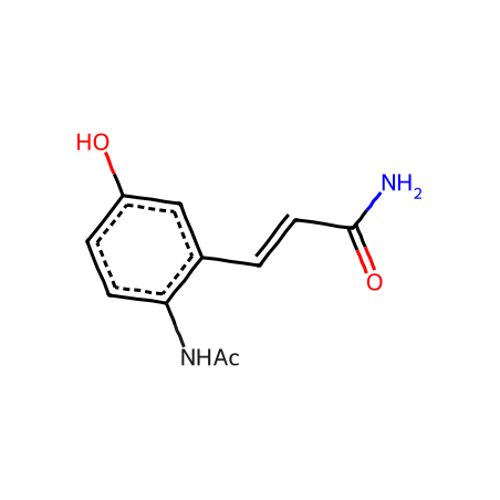 CC(=O)Nc1ccc(O)cc1C=CC(N)=O